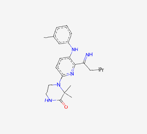 Cc1cccc(Nc2ccc(N3CCNC(=O)C3(C)C)nc2C(=N)CC(C)C)c1